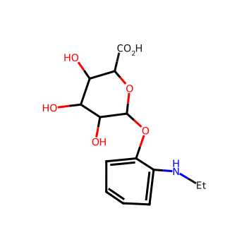 CCNc1ccccc1OC1OC(C(=O)O)C(O)C(O)C1O